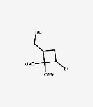 CCC(C)CC1CC(CC)C1(OC)OC